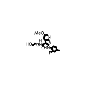 COc1cnc2sc(Nc3ccc(C)cc3F)c(C(=O)NOCCO)c2c1